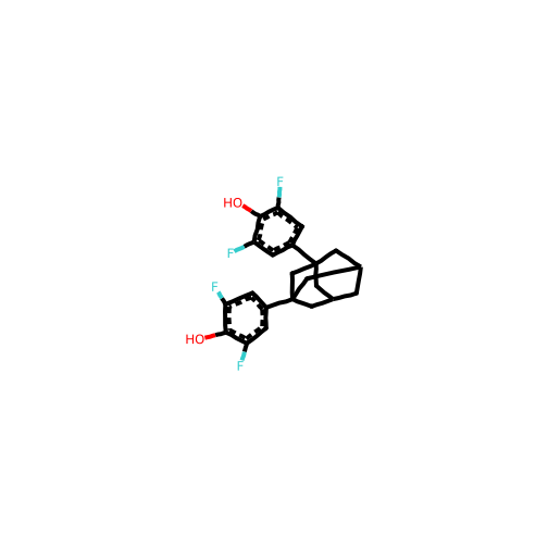 Oc1c(F)cc(C23CC4CC(C2)CC(c2cc(F)c(O)c(F)c2)(C4)C3)cc1F